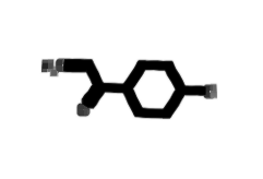 C=CC(=O)C1CCC(Cl)CC1